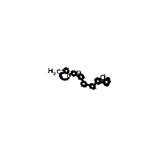 C=C1/C=C\C=C/CN(c2ccc3oc4ccc(-c5cccc(-c6cccc(-c7ccc8oc9ccccc9c8c7)c6)c5)cc4c3c2)c2ccccc21